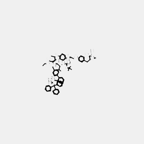 CCCc1nc(C(C)Sc2ccc(NC(=O)COc3ccc(CC4SC(=O)NC4=O)cc3)c(N(C)C(=O)OC(C)(C)C)c2)c(C(=O)OCC)n1Cc1ccc(-c2ccccc2-c2nnnn2C(c2ccccc2)(c2ccccc2)c2ccccc2)cc1